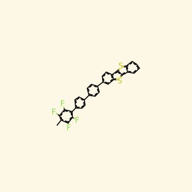 Cc1c(F)c(F)c(-c2ccc(-c3ccc(-c4ccc5c(c4)sc4c6ccccc6sc54)cc3)cc2)c(F)c1F